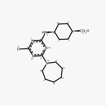 O=C(O)[C@H]1CC[C@@H](Nc2nc(Cl)nc(N3CCCCCC3)n2)CC1